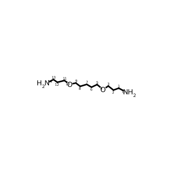 NCCCOCCCCCOCCCN